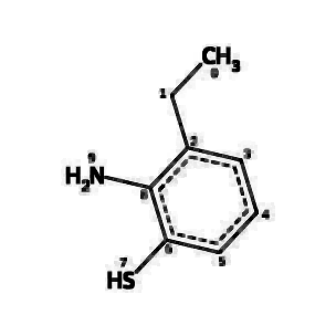 CCc1cccc(S)c1N